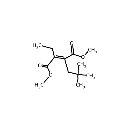 CCC(C(=O)OC)=C(CC(C)(C)C)C(=O)OC